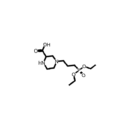 CCOP(=O)(CCCN1CCNC(C(=O)O)C1)OCC